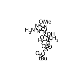 COc1nc(N)nc2c1ncn2[C@@H]1O[C@@H]2COP(=O)(SCOC(=O)C(C)(C)C)O[C@H]2[C@@]1(C)O